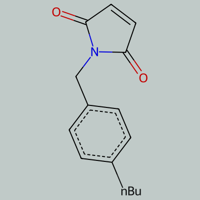 CCCCc1ccc(CN2C(=O)C=CC2=O)cc1